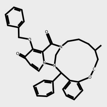 CC1CCCN2CN(C(c3ccccc3)c3ccccc3OCC1)n1ccc(=O)c(OCc3ccccc3)c1C2=O